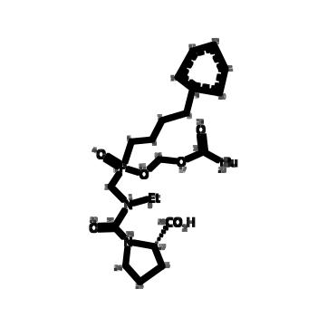 CCN(CP(=O)(CCCCc1ccccc1)OCOC(=O)C(C)(C)C)C(=O)N1CCC[C@H]1C(=O)O